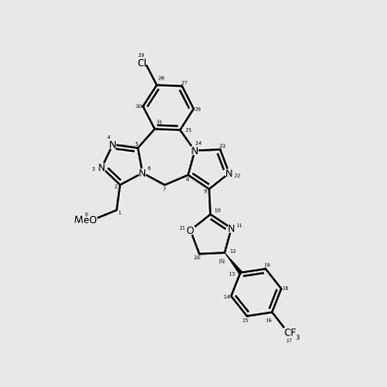 COCc1nnc2n1Cc1c(C3=N[C@@H](c4ccc(C(F)(F)F)cc4)CO3)ncn1-c1ccc(Cl)cc1-2